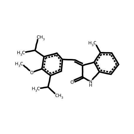 COc1c(C(C)C)cc(C=C2C(=O)Nc3cccc(C)c32)cc1C(C)C